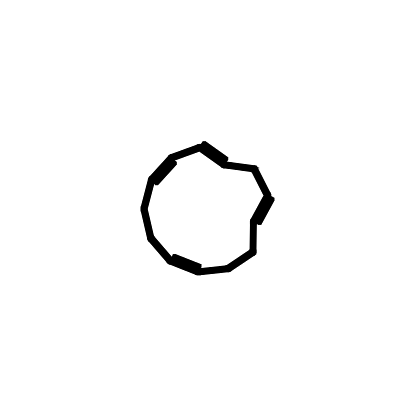 [CH]1/C=C/C=C\CC/C=C\CC/C=C/1